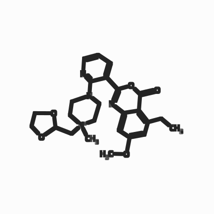 CCc1cc(OC)cc2nc(-c3cccnc3N3CC[N+](C)(CC4OCCO4)CC3)oc(=O)c12